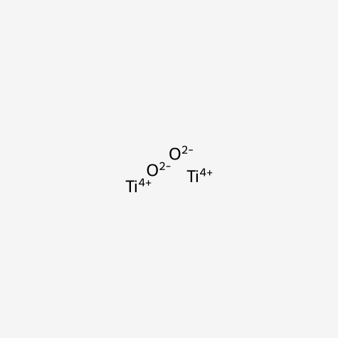 [O-2].[O-2].[Ti+4].[Ti+4]